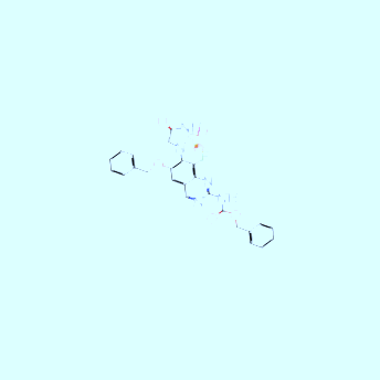 O=C1CN(c2c(OCc3ccccc3)cc3cnc(NC(=O)OCc4ccccc4)nc3c2F)S(=O)(=O)N1